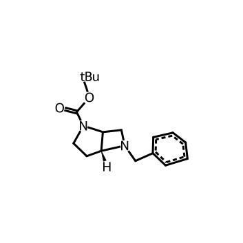 CC(C)(C)OC(=O)N1CC[C@@H]2C1CN2Cc1ccccc1